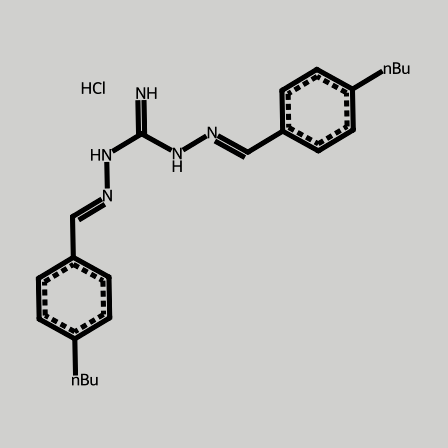 CCCCc1ccc(C=NNC(=N)NN=Cc2ccc(CCCC)cc2)cc1.Cl